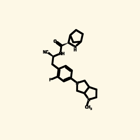 CN1CCC2CN(c3ccc(C[C@@H](C#N)NC(=O)[C@H]4NC5CCC4C5)c(F)c3)CC21